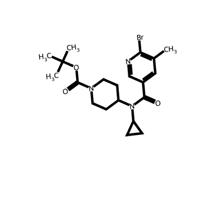 Cc1cc(C(=O)N(C2CC2)C2CCN(C(=O)OC(C)(C)C)CC2)cnc1Br